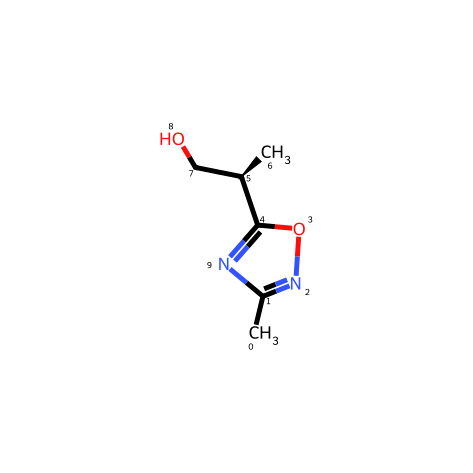 Cc1noc([C@H](C)CO)n1